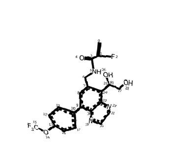 C=C(F)C(=O)NCc1cc(-c2ccc(OC(F)(F)F)cc2)c2nccnc2c1[C@@H](O)CO